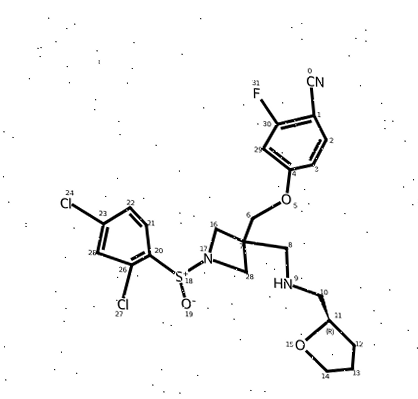 N#Cc1ccc(OCC2(CNC[C@H]3CCCO3)CN([S+]([O-])c3ccc(Cl)cc3Cl)C2)cc1F